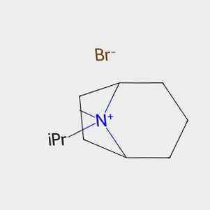 CC(C)[N+]1(C)C2CCCC1CC2.[Br-]